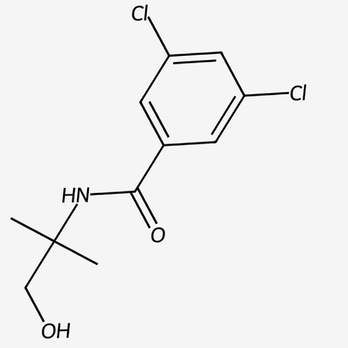 CC(C)(CO)NC(=O)c1cc(Cl)cc(Cl)c1